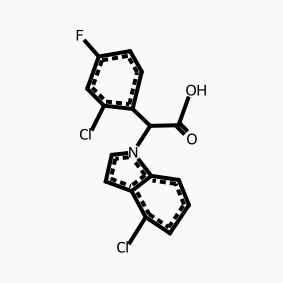 O=C(O)C(c1ccc(F)cc1Cl)n1ccc2c(Cl)cccc21